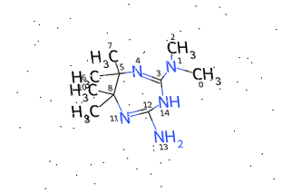 CN(C)C1=NC(C)(C)C(C)(C)N=C(N)N1